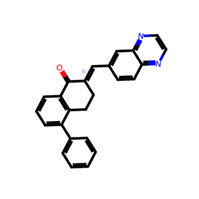 O=C1/C(=C/c2ccc3nccnc3c2)CCc2c1cccc2-c1ccccc1